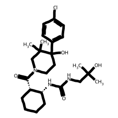 CC(C)(O)CNC(=O)N[C@@H]1CCCC[C@@H]1C(=O)N1CCC(O)(c2ccc(Cl)cc2)C(C)(C)C1